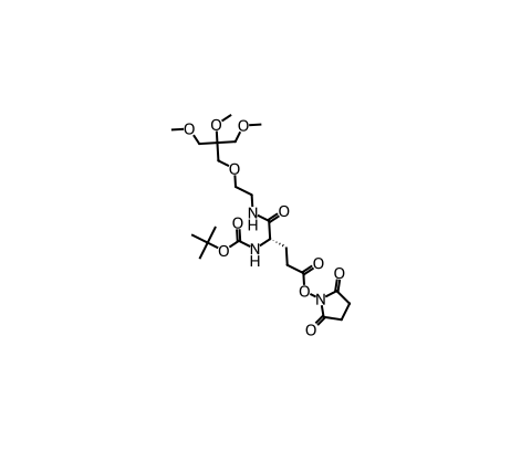 COCC(COC)(COCCNC(=O)[C@H](CCC(=O)ON1C(=O)CCC1=O)NC(=O)OC(C)(C)C)OC